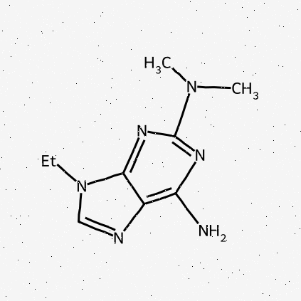 CCn1cnc2c(N)nc(N(C)C)nc21